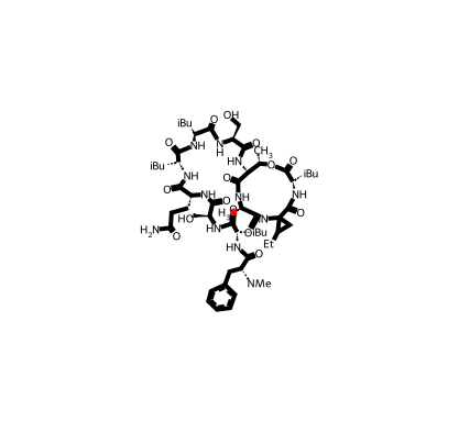 CCC1CC12NC(=O)[C@H](C)NC(=O)[C@H](NC(=O)[C@H](CO)NC(=O)[C@@H](NC(=O)[C@H](NC(=O)[C@@H](CCC(N)=O)NC(=O)[C@H](CO)NC(=O)[C@@H](NC(=O)[C@@H](Cc1ccccc1)NC)[C@@H](C)CC)[C@@H](C)CC)[C@@H](C)CC)[C@H](C)OC(=O)[C@H]([C@@H](C)CC)NC2=O